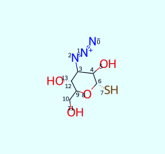 [N-]=[N+]=NC1C(O)[C@H](S)OC(CO)[C@@H]1O